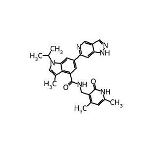 Cc1cc(C)c(CNC(=O)c2cc(-c3cc4[nH]ncc4cn3)cc3c2c(C)cn3C(C)C)c(=O)[nH]1